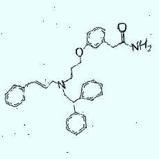 NC(=O)Cc1cccc(OCCCN(C/C=C/c2ccccc2)CC(c2ccccc2)c2ccccc2)c1